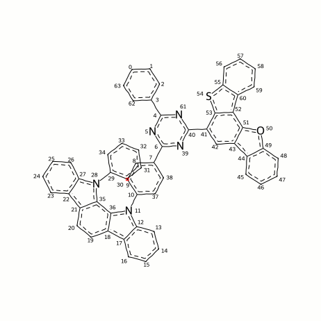 c1ccc(-c2nc(-c3ccc(-n4c5ccccc5c5ccc6c7ccccc7n(-c7ccccc7)c6c54)cc3)nc(-c3cc4c5ccccc5oc4c4c3sc3ccccc34)n2)cc1